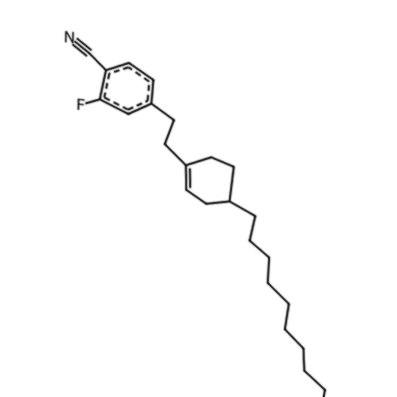 CCCCCCCCCCC1CC=C(CCc2ccc(C#N)c(F)c2)CC1